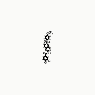 O=C(NC1=NCC2=CN(S(=O)(=O)c3ccc(OC(F)(F)F)cc3)CCC2=N1)c1ccc(Cl)c(Cl)c1